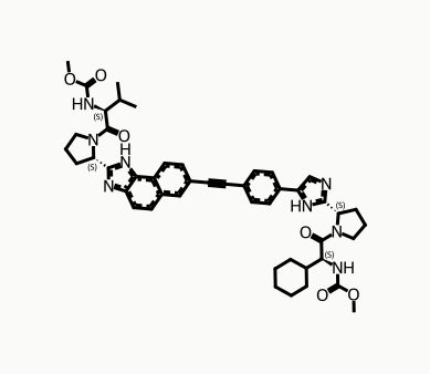 COC(=O)N[C@H](C(=O)N1CCC[C@H]1c1nc2ccc3cc(C#Cc4ccc(-c5cnc([C@@H]6CCCN6C(=O)[C@@H](NC(=O)OC)C6CCCCC6)[nH]5)cc4)ccc3c2[nH]1)C(C)C